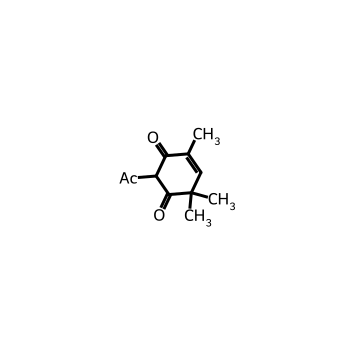 CC(=O)C1C(=O)C(C)=CC(C)(C)C1=O